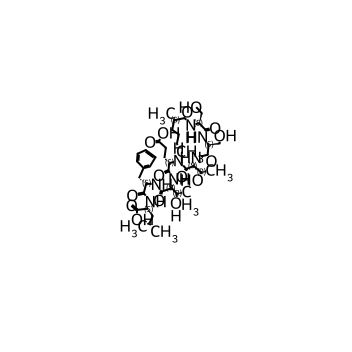 CCCC[C@H](C)C(=O)N[C@@H](CO)C(=O)N[C@@H](CO)C(=O)N[C@H](C(=O)N[C@@H](CCC(=O)O)C(=O)N[C@H](C(=O)N[C@@H](Cc1ccccc1)C(=O)N[C@@H](CC(C)C)C(=O)O)[C@@H](C)O)[C@@H](C)O